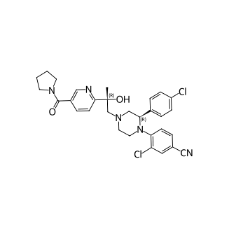 C[C@@](O)(CN1CCN(c2ccc(C#N)cc2Cl)[C@H](c2ccc(Cl)cc2)C1)c1ccc(C(=O)N2CCCC2)cn1